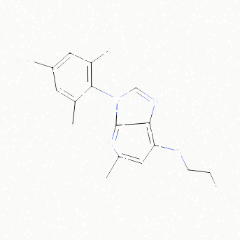 Cc1cc(C)c(-n2cnc3c(NCCCl)cc(C)nc32)c(C)c1